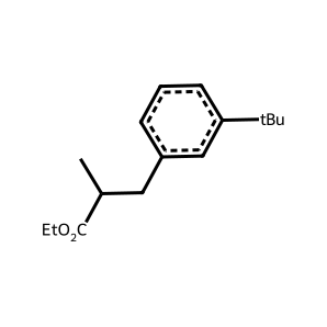 CCOC(=O)C(C)Cc1cccc(C(C)(C)C)c1